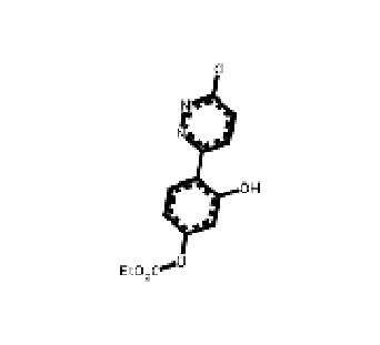 CCOC(=O)Oc1ccc(-c2ccc(Cl)nn2)c(O)c1